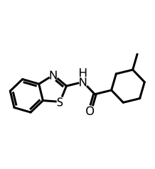 CC1CCCC(C(=O)Nc2nc3ccccc3s2)C1